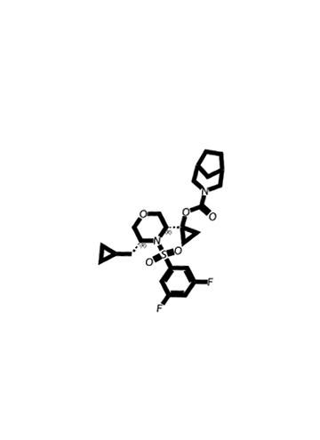 O=C(OC1([C@H]2COC[C@@H](CC3CC3)N2S(=O)(=O)c2cc(F)cc(F)c2)CC1)N1CC2CCC(C2)C1